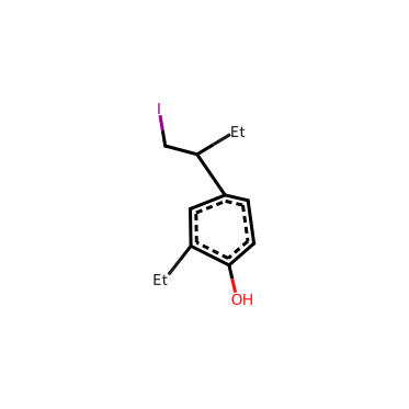 CCc1cc(C(CC)CI)ccc1O